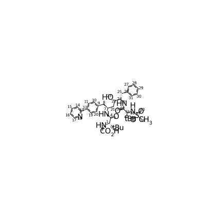 CC(C)(C)[C@H](NC(=O)O)C(=O)N[C@@H](Cc1ccc(-c2ccccn2)cc1)C[C@H](O)[C@H](Cc1ccccc1)NC(=O)[C@@H](NS(C)(=O)=O)C(C)(C)C